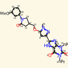 CCCn1c(=O)c2[nH]c(-c3cc(OCC4CC(=O)N(c5cccc(OC)c5)C4)n(C)n3)nc2n(CCC)c1=O